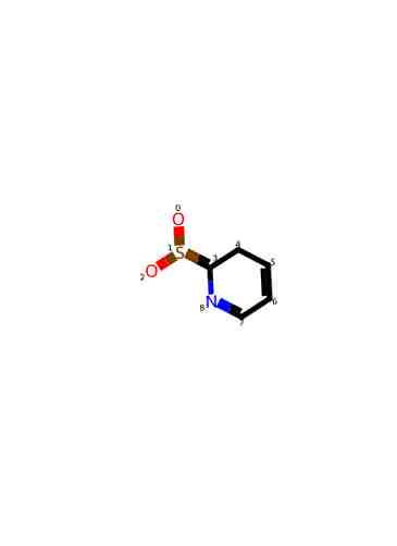 O=S(=O)=C1CC=CC=N1